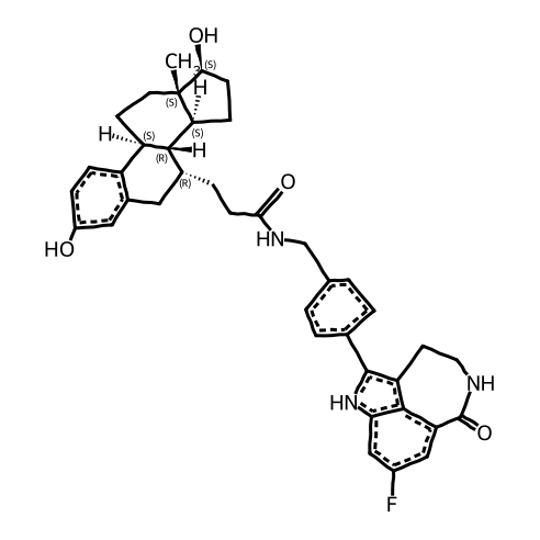 C[C@]12CC[C@@H]3c4ccc(O)cc4C[C@@H](CCC(=O)NCc4ccc(-c5[nH]c6cc(F)cc7c6c5CCNC7=O)cc4)[C@H]3[C@@H]1CC[C@@H]2O